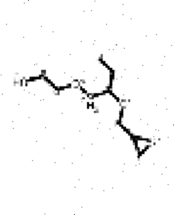 CCC(OCC1CO1)[SiH2]OCCO